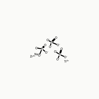 O=P([O-])([O-])[O-].O=P([O-])([O-])[O-].O=P([O-])([O-])[O-].[Na+].[Ti+4].[Zr+4]